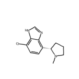 CN1CCC[C@H]1c1ccc(Cl)c2[nH]cnc12